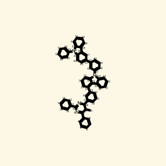 CC1C(c2ccccc2)=NC(c2ccccc2)=NC1c1cccc(-c2cccc3c2c2ccccc2n3-c2cccc(-c3ccc4c(c3)c3ccccc3n4-c3ccccc3)c2)c1